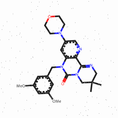 COc1cc(CN2C(=O)N3CC(C)(C)CN=C3c3ncc(N4CCOCC4)cc32)cc(OC)c1